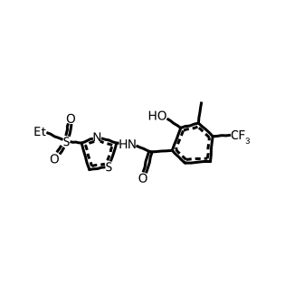 CCS(=O)(=O)c1csc(NC(=O)c2ccc(C(F)(F)F)c(C)c2O)n1